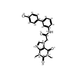 Cn1c(=O)c2c(ncn2CC(=O)Nc2cccc(-c3ccc(Cl)cc3)c2)n(C)c1=O